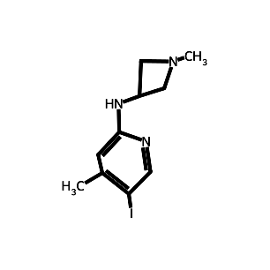 Cc1cc(NC2CN(C)C2)ncc1I